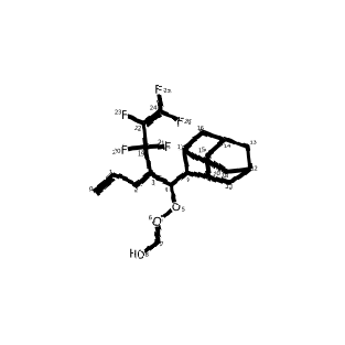 C=CCC(C(OOCO)C1C2CC3CC(C2)CC1C3)C(F)(F)C(F)=C(F)F